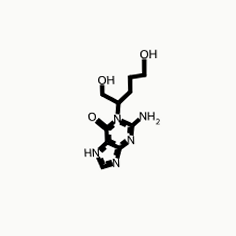 Nc1nc2nc[nH]c2c(=O)n1C(CO)CCCO